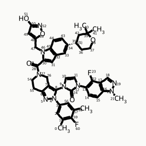 Cc1cc(-n2nc3c(c2-n2ccn(-c4ccc5c(cnn5C)c4F)c2=O)CN(C(=O)c2cc4cc([C@H]5CCOC(C)(C)C5)ccc4n2Cc2cc(O)no2)CC3)cc(C)c1F